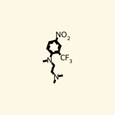 CN(C)CCN(C)c1ccc([N+](=O)[O-])cc1C(F)(F)F